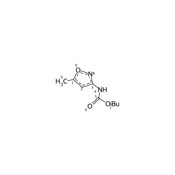 Cc1cc(NC(=O)OCC(C)C)no1